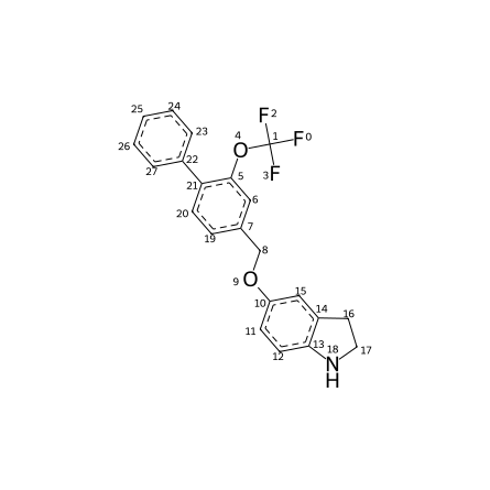 FC(F)(F)Oc1cc(COc2ccc3c(c2)CCN3)ccc1-c1ccccc1